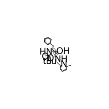 Cc1cccc(CNC[C@H](O)[C@H](Cc2ccccc2)NC(=O)OC(C)(C)C)n1